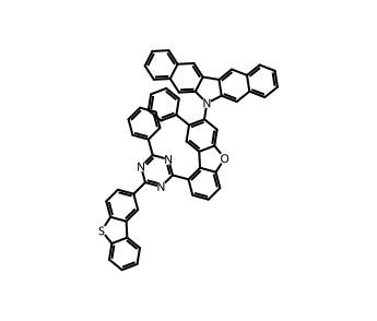 c1ccc(-c2nc(-c3ccc4sc5ccccc5c4c3)nc(-c3cccc4oc5cc(-n6c7cc8ccccc8cc7c7cc8ccccc8cc76)c(-c6ccccc6)cc5c34)n2)cc1